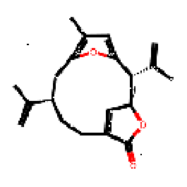 C=C(C)[C@@H]1CCC2=C[C@@H](OC2=O)[C@@H](C(=C)C)c2cc(C)c(o2)C1